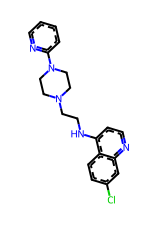 Clc1ccc2c(NCCN3CCN(c4ccccn4)CC3)ccnc2c1